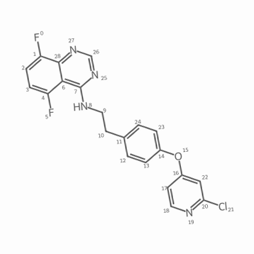 Fc1ccc(F)c2c(NCCc3ccc(Oc4ccnc(Cl)c4)cc3)ncnc12